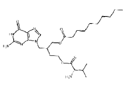 CCCCCCCCCC(=O)OCC(CCOC(=O)[C@@H](N)C(C)C)Cn1cnc2c(=O)[nH]c(N)nc21